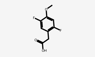 COc1cc(F)c(CC(=O)O)cc1F